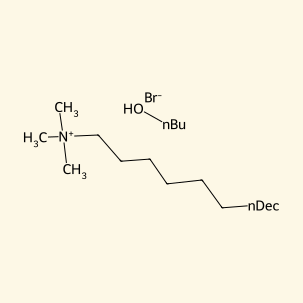 CCCCCCCCCCCCCCCC[N+](C)(C)C.CCCCO.[Br-]